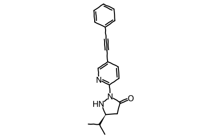 CC(C)[C@@H]1CC(=O)N(c2ccc(C#Cc3ccccc3)cn2)N1